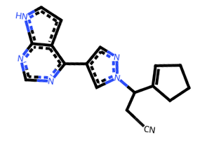 N#CCC(C1=CCCC1)n1cc(-c2ncnc3[nH]ccc23)cn1